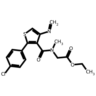 C=Nc1csc(-c2ccc(Cl)cc2)c1C(=O)N(C)CC(=O)OCC